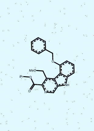 COCc1c(C(=O)OC(C)C)ncc2[nH]c3cccc(OCc4ccccc4)c3c12